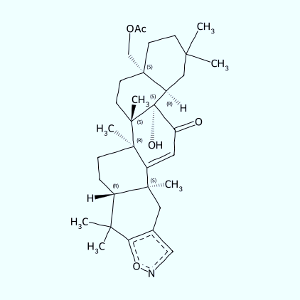 CC(=O)OC[C@]12CCC(C)(C)C[C@H]1[C@@]1(O)C(=O)C=C3[C@@]4(C)Cc5cnoc5C(C)(C)[C@@H]4CC[C@@]3(C)[C@]1(C)CC2